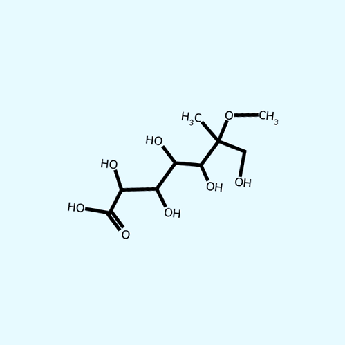 COC(C)(CO)C(O)C(O)C(O)C(O)C(=O)O